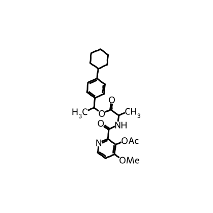 COc1ccnc(C(=O)NC(C)C(=O)OC(C)c2ccc(C3CCCCC3)cc2)c1OC(C)=O